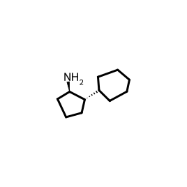 N[C@@H]1CCC[C@H]1C1CCCCC1